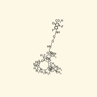 CO[C@]1(C)C[C@H](O[C@H]2[C@H](C)[C@@H](O[C@@H]3O[C@H](C)C[C@H](N(C)C)[C@H]3O)[C@](C)(O)C[C@@H](C)CN(C)[C@H](C)[C@@H](O)[C@](C)(O)[C@@H](I)OC(=O)[C@@H]2C)O[C@@H](C)[C@@H]1OC(=O)CCNCCOCCOCCNc1cc2c(cc1F)c(=O)c(C(=O)O)cn2C1CC1